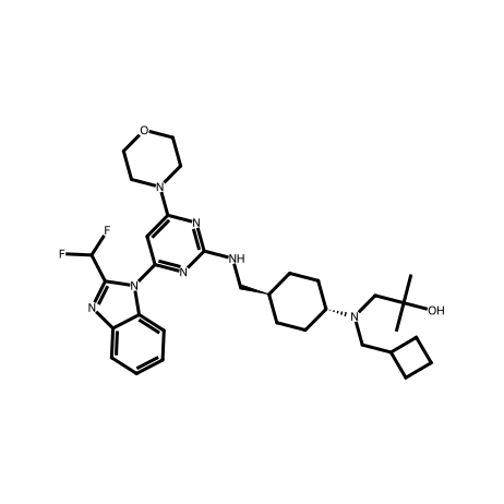 CC(C)(O)CN(CC1CCC1)[C@H]1CC[C@H](CNc2nc(N3CCOCC3)cc(-n3c(C(F)F)nc4ccccc43)n2)CC1